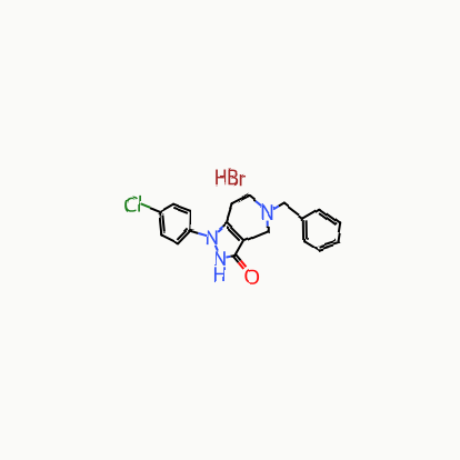 Br.O=c1[nH]n(-c2ccc(Cl)cc2)c2c1CN(Cc1ccccc1)CC2